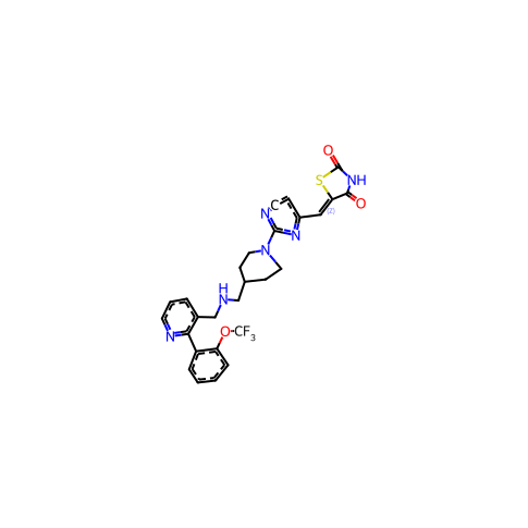 O=C1NC(=O)/C(=C/c2ccnc(N3CCC(CNCc4cccnc4-c4ccccc4OC(F)(F)F)CC3)n2)S1